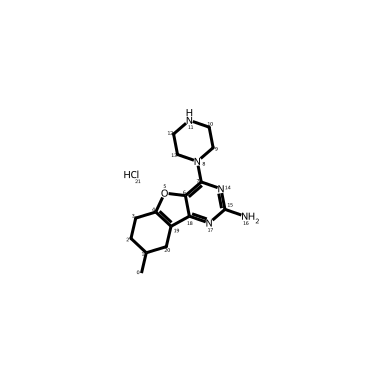 CC1CCc2oc3c(N4CCNCC4)nc(N)nc3c2C1.Cl